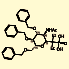 CCC(CC)([C@H]1O[C@H](COCc2ccccc2)[C@@H](OCc2ccccc2)[C@H](OCc2ccccc2)[C@H]1NC(C)=O)P(=O)(O)O